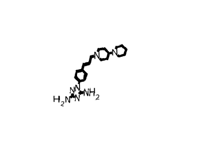 Nc1nc(N)n(-c2ccc(C=CCN3CCC(N4CCCCC4)CC3)cc2)n1